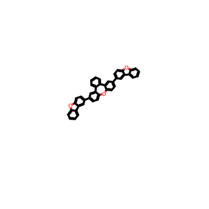 c1ccc2c(c1)-c1cc(-c3ccc4oc5ccccc5c4c3)ccc1Oc1ccc(-c3ccc4oc5ccccc5c4c3)cc1-2